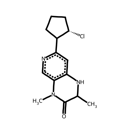 CC1Nc2cc(C3CCC[C@@H]3Cl)ncc2N(C)C1=O